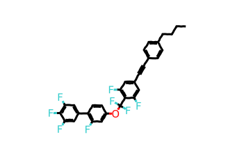 CCCCc1ccc(C#Cc2cc(F)c(C(F)(F)Oc3ccc(-c4cc(F)c(F)c(F)c4)c(F)c3)c(F)c2)cc1